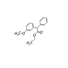 CCOC(=O)C(c1ccccc1)c1cccc(OC)c1